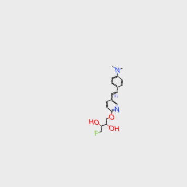 CN(C)c1ccc(/C=C/c2ccc(OCC(O)C(O)CF)nc2)cc1